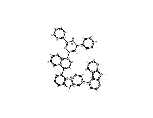 c1ccc(C2=NC(c3ccc(-c4cccc5oc6cc(-c7cccc8oc9ccccc9c78)ccc6c45)c4ccccc34)=NC(c3ccccc3)N2)cc1